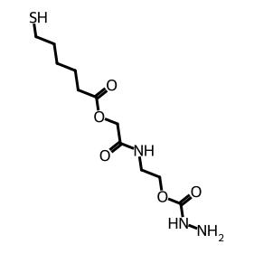 NNC(=O)OCCNC(=O)COC(=O)CCCCCS